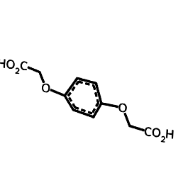 O=C(O)COc1ccc(OCC(=O)O)cc1